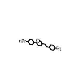 CCCC1CCC(C2CCC(CCC3CCC(CC)CC3)=CO2)CC1